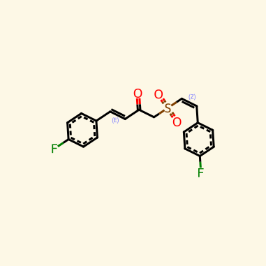 O=C(/C=C/c1ccc(F)cc1)CS(=O)(=O)/C=C\c1ccc(F)cc1